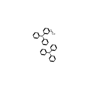 [Cl][Cu].c1ccc(P(c2ccccc2)c2ccccc2)cc1.c1ccc(P(c2ccccc2)c2ccccc2)cc1